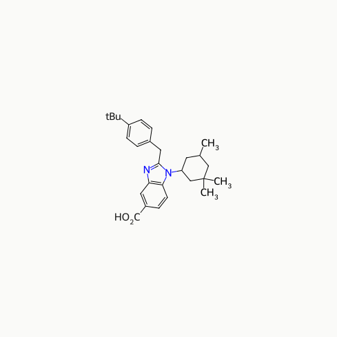 CC1CC(n2c(Cc3ccc(C(C)(C)C)cc3)nc3cc(C(=O)O)ccc32)CC(C)(C)C1